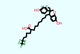 CCC1(c2ccc(O)cc2)COc2cc(O)ccc2C1CCCCCCCCC(CCCCC(F)(F)C(F)(F)F)C(=O)O